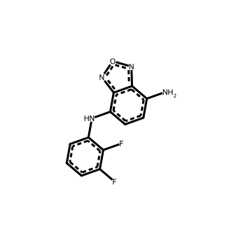 Nc1ccc(Nc2cccc(F)c2F)c2nonc12